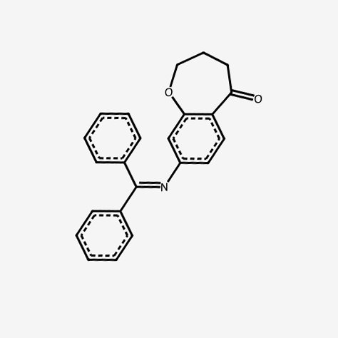 O=C1CCCOc2cc(N=C(c3ccccc3)c3ccccc3)ccc21